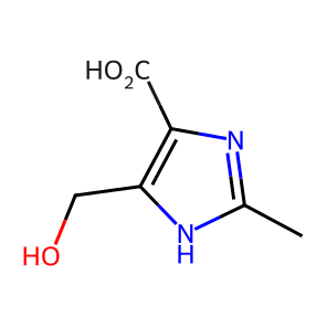 Cc1nc(C(=O)O)c(CO)[nH]1